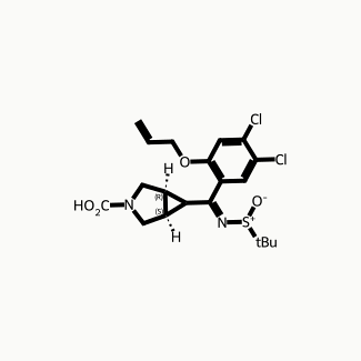 C=CCOc1cc(Cl)c(Cl)cc1C(=N[S+]([O-])C(C)(C)C)C1[C@H]2CN(C(=O)O)C[C@@H]12